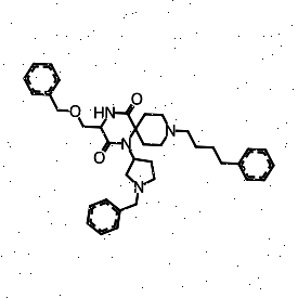 O=C1C(COCc2ccccc2)NC(=O)C2(CCN(CCCCc3ccccc3)CC2)N1C1CCN(Cc2ccccc2)C1